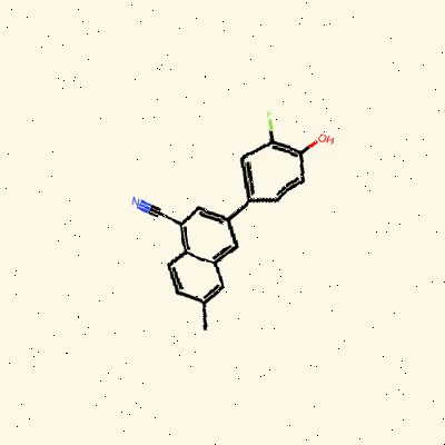 Cc1ccc2c(C#N)cc(-c3ccc(O)c(F)c3)cc2c1